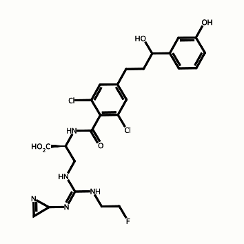 O=C(N[C@@H](CN/C(=N\C1C=N1)NCCF)C(=O)O)c1c(Cl)cc(CCC(O)c2cccc(O)c2)cc1Cl